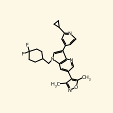 Cc1noc(C)c1-c1cnc2c(-c3ccnc(C4CC4)c3)cn(CC3CCC(F)(F)CC3)c2c1